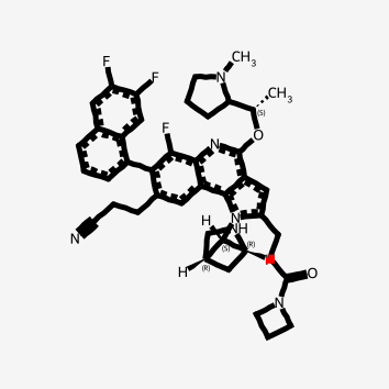 C[C@H](Oc1nc2c(F)c(-c3cccc4cc(F)c(F)cc34)c(CCC#N)cc2c2c1cc(CCC(=O)N1CCC1)n2[C@H]1[C@H]2CN[C@@H]1C2)C1CCCN1C